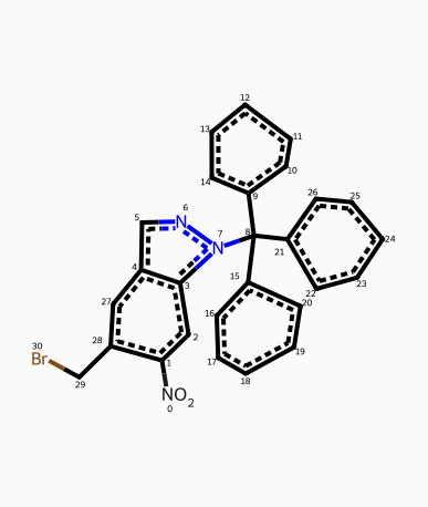 O=[N+]([O-])c1cc2c(cnn2C(c2ccccc2)(c2ccccc2)c2ccccc2)cc1CBr